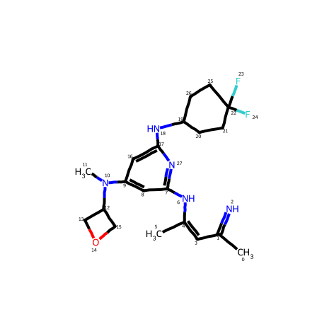 CC(=N)/C=C(/C)Nc1cc(N(C)C2COC2)cc(NC2CCC(F)(F)CC2)n1